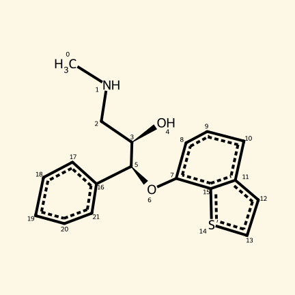 CNC[C@@H](O)[C@@H](Oc1cccc2ccsc12)c1ccccc1